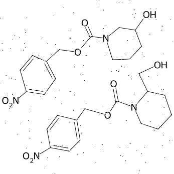 O=C(OCc1ccc([N+](=O)[O-])cc1)N1CCCC(O)C1.O=C(OCc1ccc([N+](=O)[O-])cc1)N1CCCCC1CO